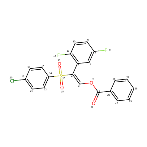 O=C(O/C=C(\c1cc(F)ccc1F)S(=O)(=O)c1ccc(Cl)cc1)c1ccccc1